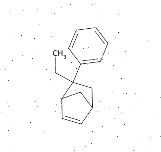 CCC1(c2ccccc2)CC2C=CC1C2